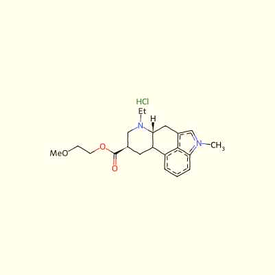 CCN1C[C@H](C(=O)OCCOC)CC2c3cccc4c3c(cn4C)C[C@H]21.Cl